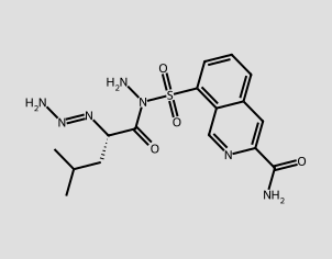 CC(C)C[C@H](N=NN)C(=O)N(N)S(=O)(=O)c1cccc2cc(C(N)=O)ncc12